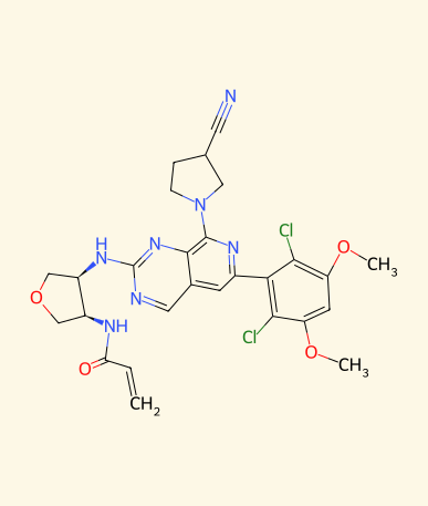 C=CC(=O)N[C@H]1COC[C@H]1Nc1ncc2cc(-c3c(Cl)c(OC)cc(OC)c3Cl)nc(N3CCC(C#N)C3)c2n1